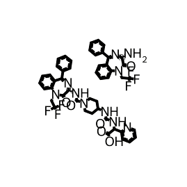 N[C@@H]1N=C(c2ccccc2)c2ccccc2N(CC(F)(F)F)C1=O.O=C(NC1CCN(C(=O)N[C@@H]2N=C(c3ccccc3)c3ccccc3N(CC(F)(F)F)C2=O)CC1)NC(C(=O)O)c1ccccn1